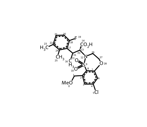 COCc1cc(Cl)cc2c1S(=O)(=O)N([C@H](C(=O)O)C(C)c1c(F)ccc(C)c1C)CCO2